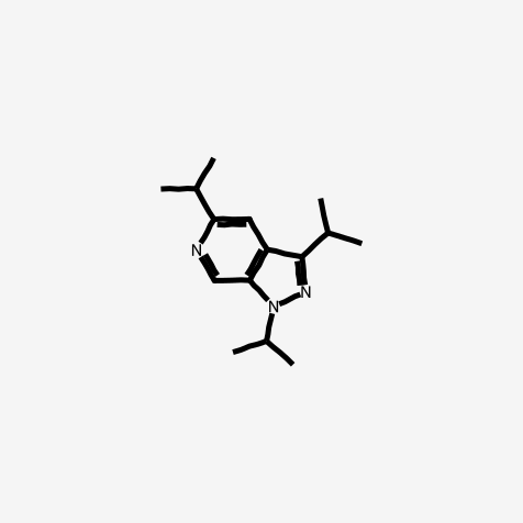 CC(C)c1cc2c(C(C)C)nn(C(C)C)c2cn1